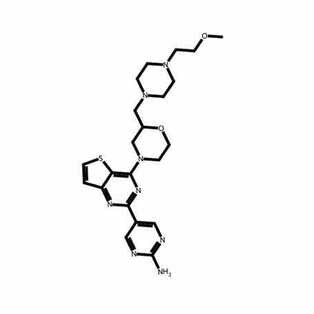 COCCN1CCN(CC2CN(c3nc(-c4cnc(N)nc4)nc4ccsc34)CCO2)CC1